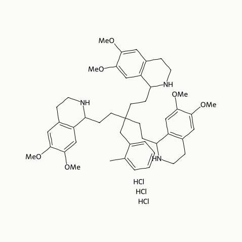 COc1cc2c(cc1OC)C(CCC(CCC1NCCc3cc(OC)c(OC)cc31)(CCC1NCCc3cc(OC)c(OC)cc31)Cc1ccccc1C)NCC2.Cl.Cl.Cl